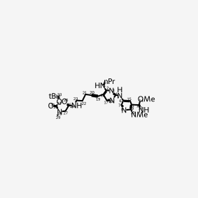 CCCNc1nc(Nc2cnc(NC)c(C(=N)OC)c2)ncc1C#CCCCNC(=O)CN(C)C(=O)OC(C)(C)C